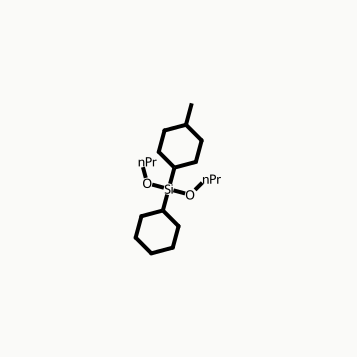 CCCO[Si](OCCC)(C1CCCCC1)C1CCC(C)CC1